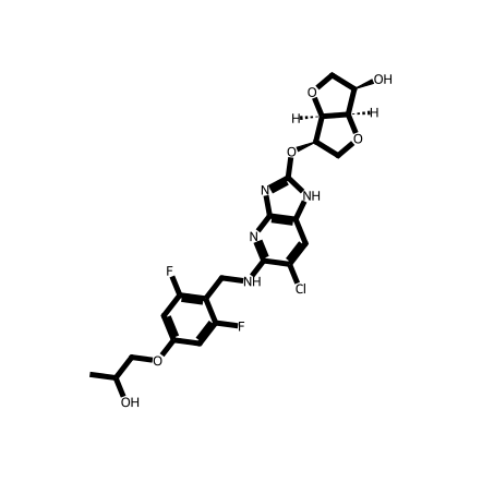 CC(O)COc1cc(F)c(CNc2nc3nc(O[C@@H]4CO[C@H]5[C@@H]4OC[C@H]5O)[nH]c3cc2Cl)c(F)c1